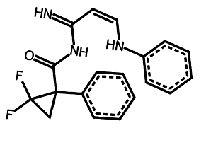 N=C(/C=C\Nc1ccccc1)NC(=O)C1(c2ccccc2)CC1(F)F